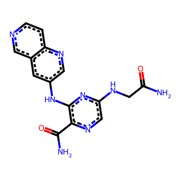 NC(=O)CNc1cnc(C(N)=O)c(Nc2cnc3ccncc3c2)n1